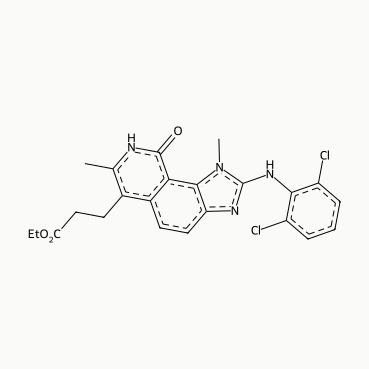 CCOC(=O)CCc1c(C)[nH]c(=O)c2c1ccc1nc(Nc3c(Cl)cccc3Cl)n(C)c12